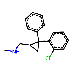 CNCC1CC1(c1ccccc1)c1ccccc1Cl